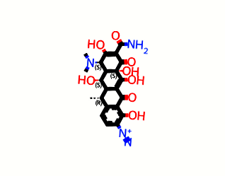 C[C@H]1c2ccc([N+]#N)c(O)c2C(=O)C2=C(O)[C@]3(O)C(=O)C(C(N)=O)=C(O)[C@@H](N(C)C)C3[C@@H](O)C21